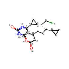 O=c1nc(C2C[C@@H]2CCF)c2c(CCCC3CC3)cc(=O)oc2[nH]1